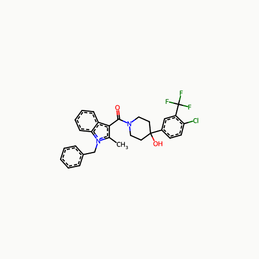 Cc1c(C(=O)N2CCC(O)(c3ccc(Cl)c(C(F)(F)F)c3)CC2)c2ccccc2n1Cc1ccccc1